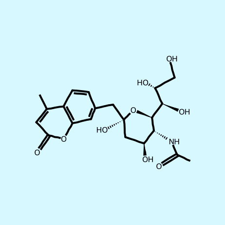 CC(=O)N[C@H]1[C@H]([C@H](O)[C@H](O)CO)O[C@](O)(Cc2ccc3c(C)cc(=O)oc3c2)C[C@@H]1O